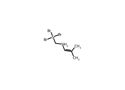 CC(C)=C[SiH2]C[Si](Br)(Br)Br